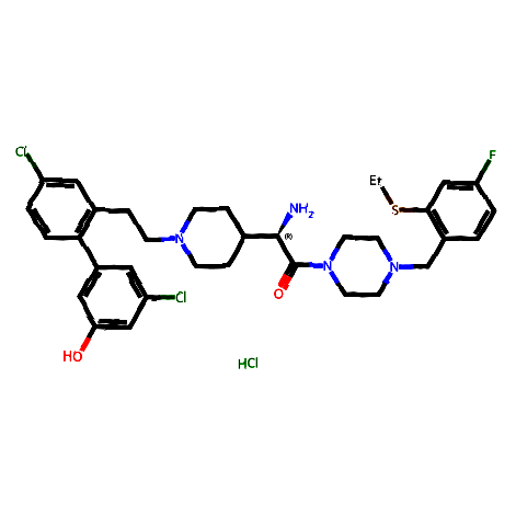 CCSc1cc(F)ccc1CN1CCN(C(=O)[C@H](N)C2CCN(CCc3cc(Cl)ccc3-c3cc(O)cc(Cl)c3)CC2)CC1.Cl